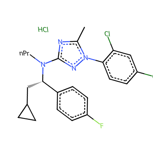 CCCN(c1nc(C)n(-c2ccc(Cl)cc2Cl)n1)[C@@H](CC1CC1)c1ccc(F)cc1.Cl